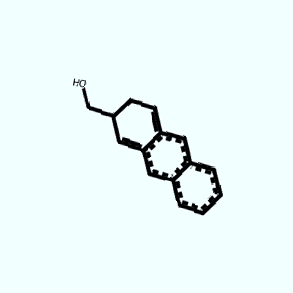 OCC1C=c2cc3ccccc3cc2=CC1